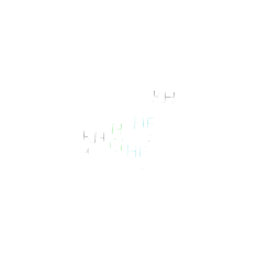 Cl.F.F.[KH].[KH]